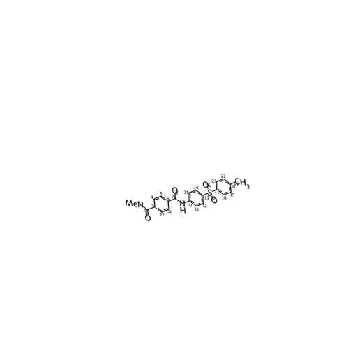 CNC(=O)c1ccc(C(=O)Nc2ccc(S(=O)(=O)c3ccc(C)cc3)cc2)cc1